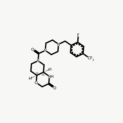 O=C1CO[C@H]2CCN(C(=O)N3CCN(Cc4ccc(C(F)(F)F)cc4F)CC3)C[C@H]2N1